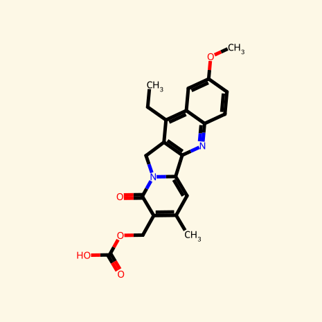 CCc1c2c(nc3ccc(OC)cc13)-c1cc(C)c(COC(=O)O)c(=O)n1C2